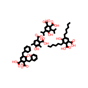 CC(C)c1cc(C(=O)O)c(C(=O)O)c(C(C)C)c1O.CCCCCCc1cc(C(=O)O)c(C(=O)O)c(CCCCCC)c1O.Cc1cc(C(=O)O)c(C(=O)O)c(C)c1O.O=C(O)c1cc(Cc2ccccc2)c(O)c(Cc2ccccc2)c1C(=O)O